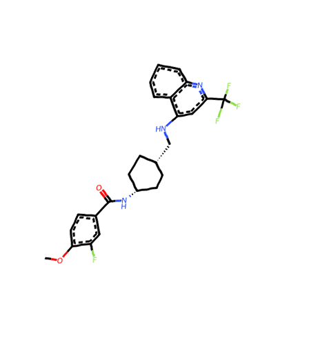 COc1ccc(C(=O)N[C@H]2CC[C@@H](CNc3cc(C(F)(F)F)nc4ccccc34)CC2)cc1F